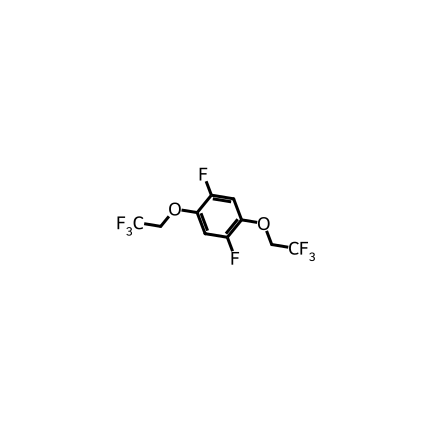 Fc1cc(OCC(F)(F)F)c(F)cc1OCC(F)(F)F